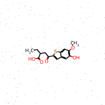 CCC(CC(=O)c1cc2cc(O)c(OC)cc2s1)C(=O)O